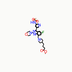 COC(=O)CCCC1CCN(Cc2cc(F)cc3c(-c4cncc(NS(C)(=O)=O)c4)nc(N4CCOCC4)nc23)CC1